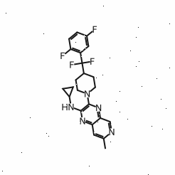 Cc1cc2nc(NC3CC3)c(N3CCC(C(F)(F)c4cc(F)ccc4F)CC3)nc2cn1